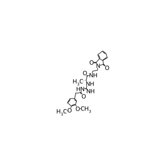 COc1ccc(CC(=O)NC(=N)N[C@H](C)C(=O)NCCN2C(=O)c3ccccc3C2=O)cc1OC